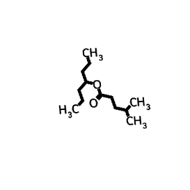 CCCC(CCC)OC(=O)CCC(C)C